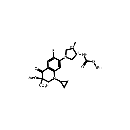 COC1(C(=O)O)CN(C2CC2)c2cc(N3C[C@@H](C)[C@H](NC(=O)OC(C)(C)C)C3)c(F)cc2C1=O